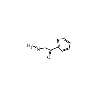 C=NCC(=O)c1ccccc1